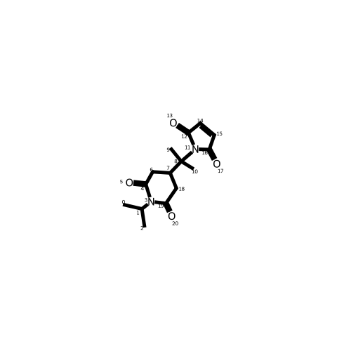 CC(C)N1C(=O)CC(C(C)(C)N2C(=O)C=CC2=O)CC1=O